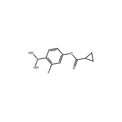 O=C(Oc1ccc(B(O)O)c(F)c1)C1CC1